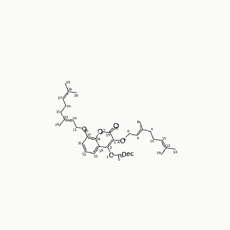 CCCCCCCCCCOc1c(OC/C=C(\C)CCC=C(C)C)c(=O)oc2c(OC/C=C(\C)CCC=C(C)C)cccc12